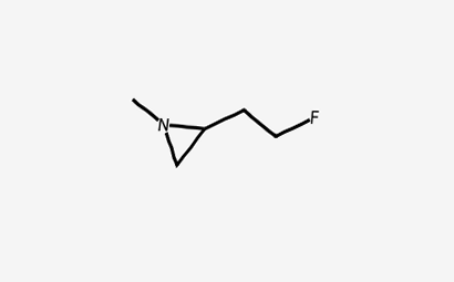 CN1CC1CCF